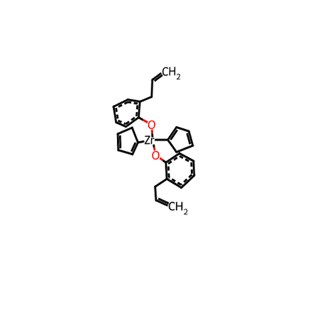 C=CCc1ccccc1[O][Zr]([O]c1ccccc1CC=C)([C]1=CC=CC1)[C]1=CC=CC1